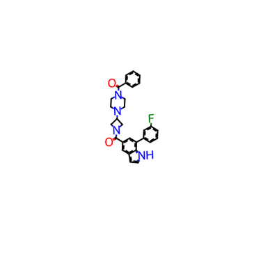 O=C(c1ccccc1)N1CCN(C2CN(C(=O)c3cc(-c4cccc(F)c4)c4[nH]ccc4c3)C2)CC1